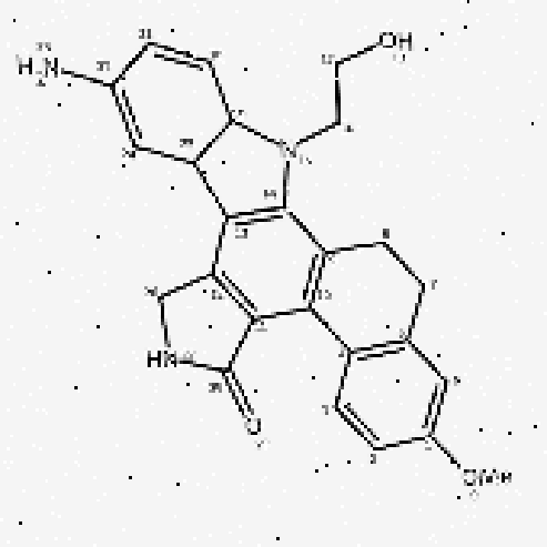 COc1ccc2c(c1)CCc1c-2c2c(c3c1N(CCO)C1C=CC(N)=CC31)CNC2=O